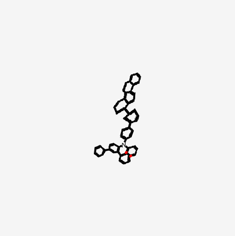 c1ccc(-c2ccc(N(c3ccccc3)c3ccc(-c4cccc(-c5cccc6c5ccc5c7ccccc7ccc65)c4)cc3)c(-c3ccccc3)c2)cc1